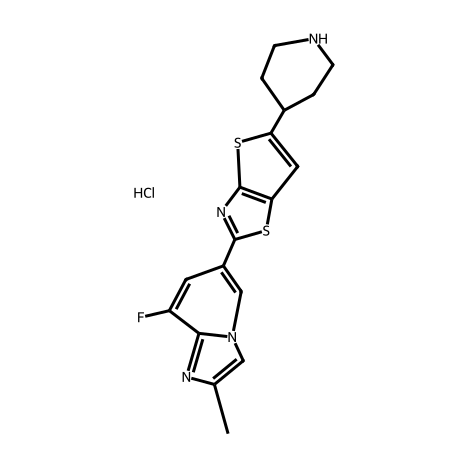 Cc1cn2cc(-c3nc4sc(C5CCNCC5)cc4s3)cc(F)c2n1.Cl